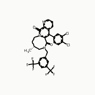 C[C@@H]1CCn2c(c(-c3ccc(Cl)c(Cl)c3)c3cccnc3c2=O)C(=O)N(Cc2cc(C(F)(F)F)cc(C(F)(F)F)c2)C1